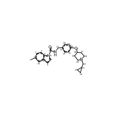 Cc1ccc2c(ccn2C(=O)NCc2ccc(OC3CCN(CC4CC4)CC3)nc2)c1